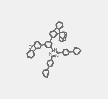 c1ccc(-c2ccc(-c3nc(-c4ccc(-c5ccccc5)cc4)nc(-c4cc(-c5ccc6c(c5)C5(c7ccccc7-6)C6CC7CC(C6)CC5C7)cc(-c5ccc6oc7ccccc7c6c5)c4)n3)cc2)cc1